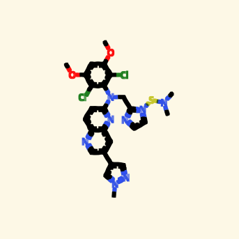 COc1cc(OC)c(Cl)c(N(Cc2nccn2SN(C)C)c2ccc3ncc(-c4cnn(C)c4)cc3n2)c1Cl